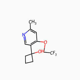 Cc1cc(OCC(F)(F)F)c(C2(O)CCC2)cn1